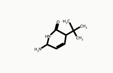 CC(C)(C)C1C=CC(N)NC1=O